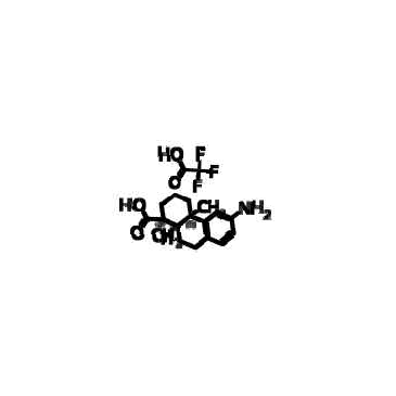 C[C@]1(C(=O)O)CCC[C@]2(C)c3cc(N)ccc3CC[C@@H]12.O=C(O)C(F)(F)F